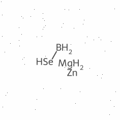 B[SeH].[MgH2].[Zn]